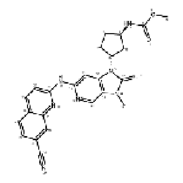 COC(=O)N[C@@H]1CC[C@@H](n2c(=O)n(C)c3cnc(Nc4ccc5ccc(C#N)cc5n4)cc32)C1